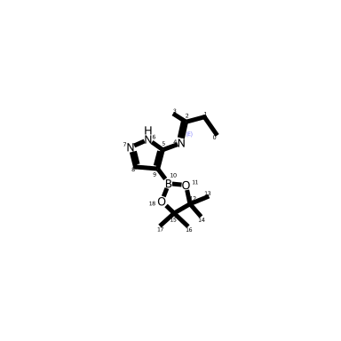 CC/C(C)=N/c1[nH]ncc1B1OC(C)(C)C(C)(C)O1